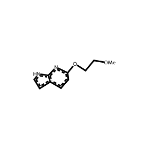 COCCOc1ccc2cc[nH]c2n1